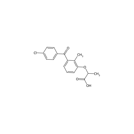 Cc1c(OC(C)C(=O)O)cccc1C(=O)c1ccc(Cl)cc1